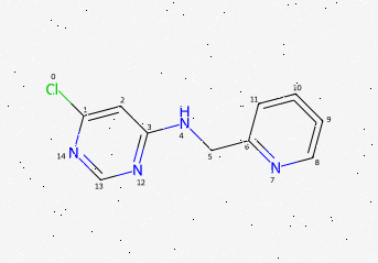 Clc1cc(NCC2=NC=C=C=C2)ncn1